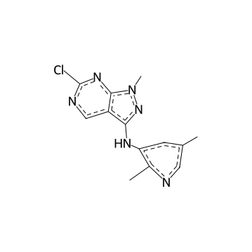 Cc1cnc(C)c(Nc2nn(C)c3nc(Cl)ncc23)c1